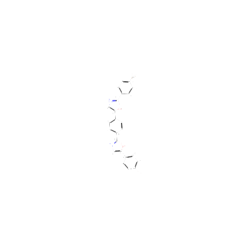 Brc1ccc(-c2cnc(-c3ccc(-c4cnc(-c5ccc(Br)cc5)o4)cc3)o2)cc1